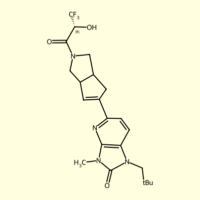 Cn1c(=O)n(CC(C)(C)C)c2ccc(C3=CC4CN(C(=O)[C@@H](O)C(F)(F)F)CC4C3)nc21